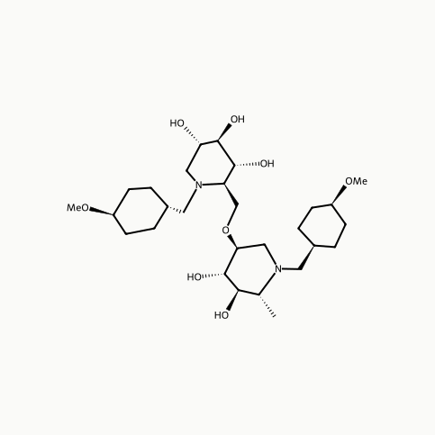 CO[C@H]1CC[C@@H](CN2C[C@H](OC[C@@H]3[C@@H](O)[C@H](O)[C@@H](O)CN3C[C@H]3CC[C@H](OC)CC3)[C@@H](O)[C@H](O)[C@H]2C)CC1